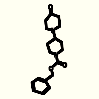 O=C1CCN(C2CCN(C(=O)OCc3ccccc3)CC2)CC1